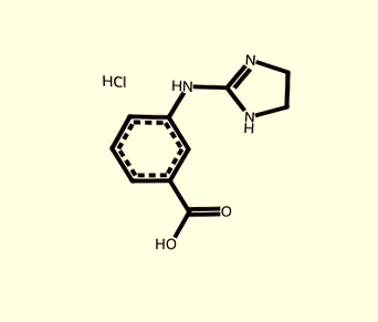 Cl.O=C(O)c1cccc(NC2=NCCN2)c1